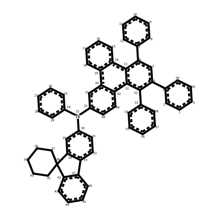 c1ccc(-c2cc(-c3ccccc3)c3c4ccccc4c4cc(N(c5ccccc5)c5ccc6c(c5)C5(CCCCC5)c5ccccc5-6)ccc4c3c2-c2ccccc2)cc1